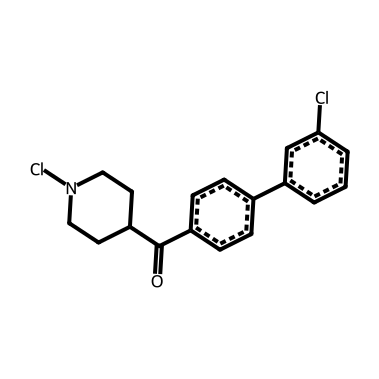 O=C(c1ccc(-c2cccc(Cl)c2)cc1)C1CCN(Cl)CC1